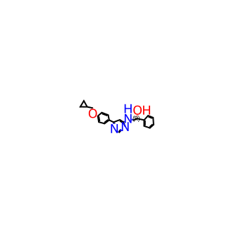 O[C@@H](CNc1cc(-c2ccc(OCC3CC3)cc2)ncn1)c1ccccc1